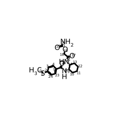 CSc1ccc(C(=O)N[C@H]2CCCC[C@H]2NC(=O)COC(N)=O)cc1